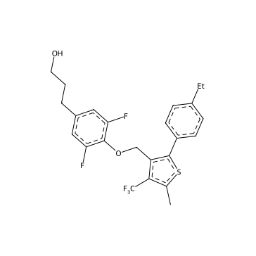 CCc1ccc(-c2sc(C)c(C(F)(F)F)c2COc2c(F)cc(CCCO)cc2F)cc1